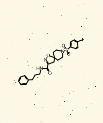 O=C(NCCCc1ccccc1)C1=NOC2(CCN(S(=O)(=O)c3ccc(F)cc3)CC2)C1